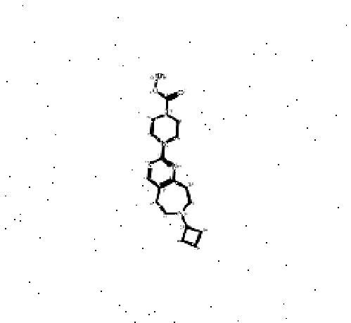 CC(C)(C)OC(=O)N1CCN(c2ncc3c(n2)CCN(C2CCC2)CC3)CC1